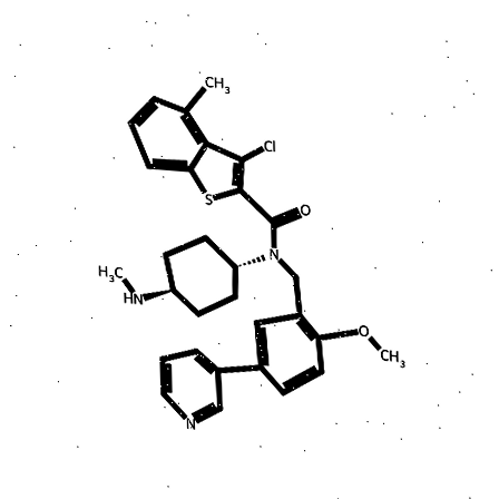 CN[C@H]1CC[C@H](N(Cc2cc(-c3cccnc3)ccc2OC)C(=O)c2sc3cccc(C)c3c2Cl)CC1